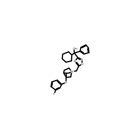 OC(c1ccccc1)(c1noc(C[N+]23CCC(CC2)C(Oc2cccc(F)c2)C3)n1)C1CCCCC1